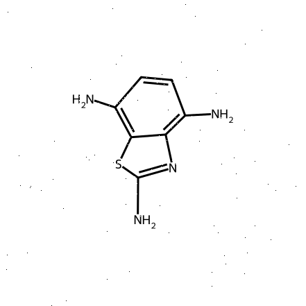 Nc1nc2c(N)ccc(N)c2s1